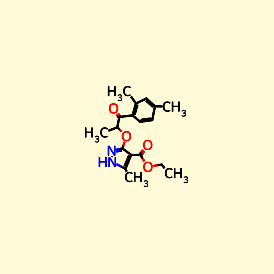 CCOC(=O)c1c(OC(C)C(=O)c2ccc(C)cc2C)n[nH]c1C